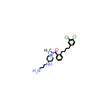 CN(C(=O)c1ccccc1CCCCc1ccc(Cl)c(Cl)c1)N1CCC(NCCCN)CC1